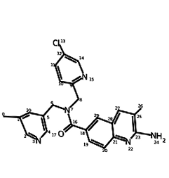 Cc1cncc(CN(Cc2ccc(Cl)cn2)C(=O)c2ccc3nc(N)c(C)cc3c2)c1